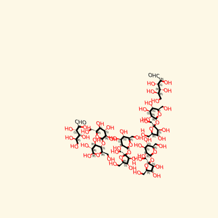 O=C[C@H](O)[C@@H](O)[C@H](O)[C@H](O)CO.O=C[C@H](O)[C@@H](O)[C@H](O)[C@H](O)CO.OC[C@H]1O[C@@](CO)(O[C@H]2O[C@H](CO)[C@@H](O)[C@H](O)[C@H]2O)[C@@H](O)[C@@H]1O.OC[C@H]1O[C@@](CO)(O[C@H]2O[C@H](CO)[C@@H](O)[C@H](O)[C@H]2O)[C@@H](O)[C@@H]1O.OC[C@H]1O[C@@](CO)(O[C@H]2O[C@H](CO)[C@@H](O)[C@H](O)[C@H]2O)[C@@H](O)[C@@H]1O.OC[C@H]1O[C@H](O[C@H]2[C@H](O)[C@@H](O)[C@H](O)O[C@@H]2CO)[C@H](O)[C@@H](O)[C@@H]1O